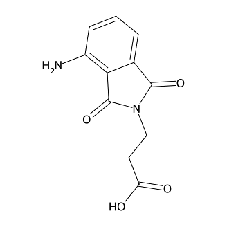 Nc1cccc2c1C(=O)N(CCC(=O)O)C2=O